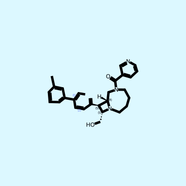 C=C(/C=C\C(=C/C)c1cccc(C)c1)[C@@H]1[C@@H](CO)N2CCCCN(C(=O)c3cccnc3)C[C@@H]12